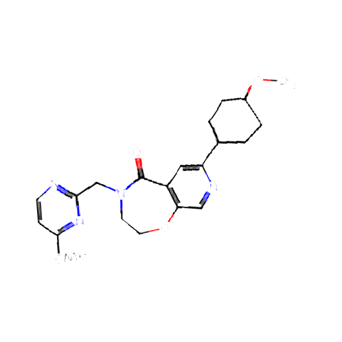 COc1ccnc(CN2CCOc3cnc(C4CCC(OC(F)(F)F)CC4)cc3C2=O)n1